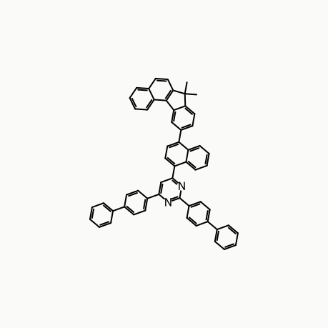 CC1(C)c2ccc(-c3ccc(-c4cc(-c5ccc(-c6ccccc6)cc5)nc(-c5ccc(-c6ccccc6)cc5)n4)c4ccccc34)cc2-c2c1ccc1ccccc21